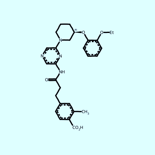 CCOc1ccccc1O[C@@H]1CCCN(c2cncc(NC(=O)CCc3ccc(C(=O)O)c(C)c3)n2)C1